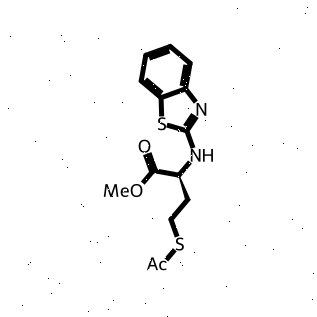 COC(=O)[C@H](CCSC(C)=O)Nc1nc2ccccc2s1